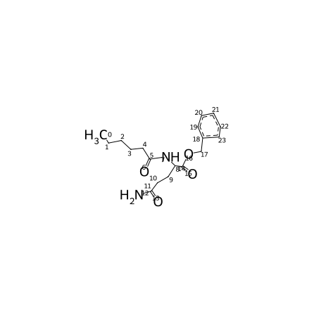 CCCCCC(=O)NC(CCC(N)=O)C(=O)OCc1ccccc1